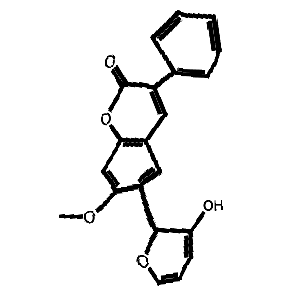 COc1cc2oc(=O)c(-c3ccccc3)cc2cc1C1OC=CC=C1O